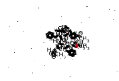 CC(=O)Oc1ccc(C[N+]2(CC(=O)N(C(=O)[C@@]3(C)CO3)[C@@H](CCc3ccccc3)C(=O)N[C@@H](CC(C)C)C(=O)N[C@@H](Cc3ccccc3)C(=O)NCCC(C)C)CCOCC2)cc1C(C)=O.CS(=O)(=O)[O-]